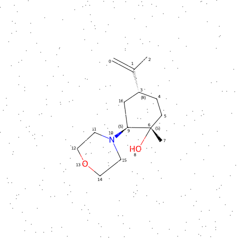 C=C(C)[C@@H]1CC[C@](C)(O)[C@@H](N2CCOCC2)C1